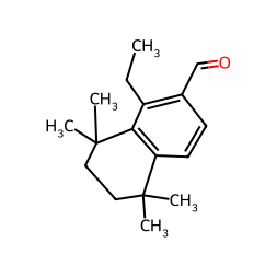 CCc1c(C=O)ccc2c1C(C)(C)CCC2(C)C